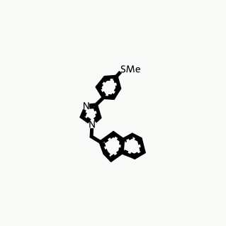 CSc1ccc(-c2cn(Cc3ccc4ccccc4c3)cn2)cc1